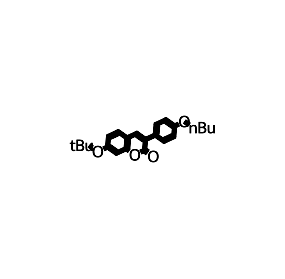 CCCCOc1ccc(-c2cc3ccc(OC(C)(C)C)cc3oc2=O)cc1